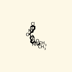 CC(C)NC(=O)c1ccc2n1CCN(C(=O)c1cc3ccc(Cl)cn3n1)C2